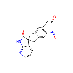 O=CCc1cc2c(cc1N=O)CC1(C2)C(=O)Nc2ncccc21